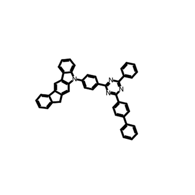 c1ccc(-c2ccc(-c3nc(-c4ccccc4)nc(-c4ccc(-n5c6ccccc6c6cc7c(cc65)Cc5ccccc5-7)cc4)n3)cc2)cc1